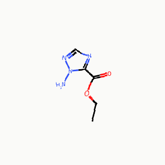 CCOC(=O)c1ncnn1N